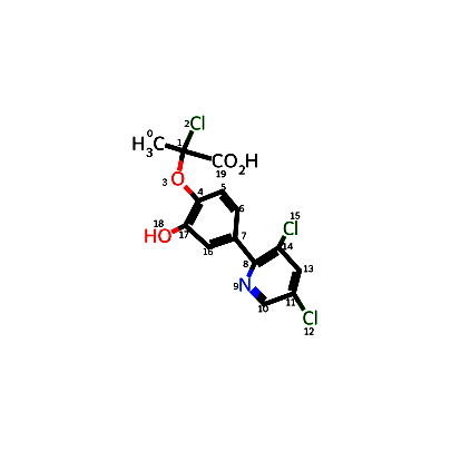 CC(Cl)(Oc1ccc(-c2ncc(Cl)cc2Cl)cc1O)C(=O)O